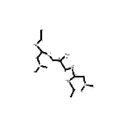 CCOC(CN(C)C)OCC(O)COC(CN(C)C)OCC